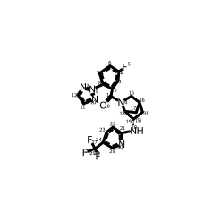 O=C(c1cc(F)ccc1-n1nccn1)N1CC2CC1[C@@H](Nc1ccc(C(F)(F)F)cn1)C2